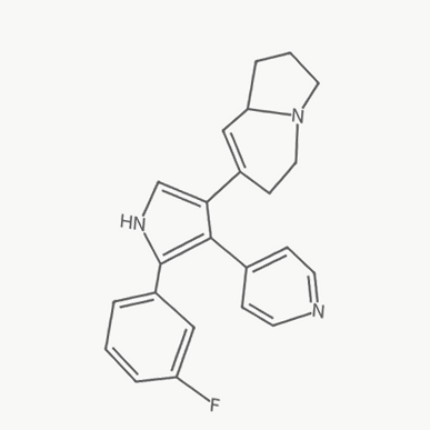 Fc1cccc(-c2[nH]cc(C3=CC4CCCN4CC3)c2-c2ccncc2)c1